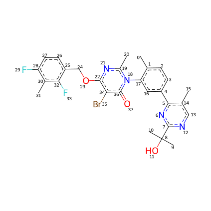 Cc1ccc(-c2nc(C(C)(C)O)ncc2C)cc1-n1c(C)nc(OCc2ccc(F)c(C)c2F)c(Br)c1=O